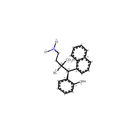 CCN(CC)CC[C@](C#N)(C(=O)O)[C@H](c1ccccc1OC)c1cccc2ccccc12